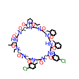 CC[C@H](C)[C@@H]1NC(=O)[C@H](C)N(C)C(=O)C[C@@H](C(=O)N2CCCC2)NC(=O)[C@H](C(C)C)N(C)C(=O)[C@H](Cc2ccccc2)N(C)C(=O)[C@H](Cc2ccccc2)NC(=O)[C@H](Cc2cccc(Cl)c2)NC(=O)CN(C)C(=O)[C@H](Cc2ccc(Cl)cc2)N(C)C(=O)CN(C)C(=O)CN(CC)C1=O